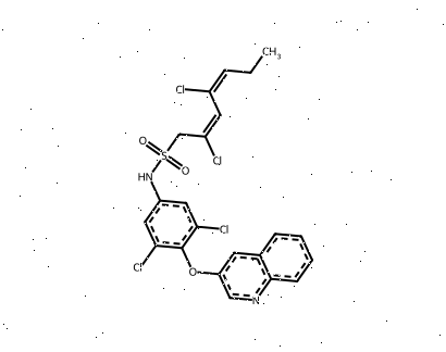 CC/C=C(Cl)\C=C(\Cl)CS(=O)(=O)Nc1cc(Cl)c(Oc2cnc3ccccc3c2)c(Cl)c1